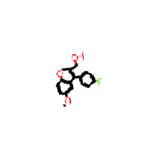 COc1ccc2c(c1)C(c1ccc(F)cc1)=C(CO)CO2